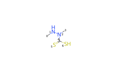 CNN(C)C(=S)S